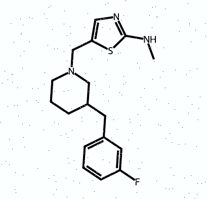 CNc1ncc(CN2CCCC(Cc3cccc(F)c3)C2)s1